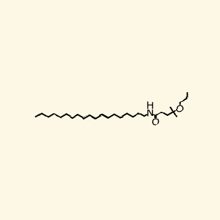 CCCCCCCCCCCCCCCCCCCNC(=O)CCC(C)(C)OCCC